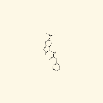 CC(=O)N1Cc2n[nH]c(NC(=O)Cc3ccccc3)c2C1